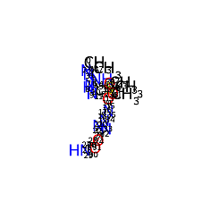 Cc1n[nH]c(Nc2ncnc3cc(OCCN4CCN(c5ncc(OC[C@H]6CNCCO6)cn5)CC4)c(S(=O)(=O)C(C)(C)C)cc23)c1C